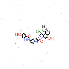 Cc1cccc2c(O)cc3c(c12)C(CCl)CN3C(=O)c1cn2cc(NC(=O)c3ccc(O)cc3)ccc2n1